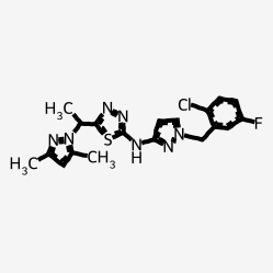 Cc1cc(C)n(C(C)c2nnc(Nc3ccn(Cc4cc(F)ccc4Cl)n3)s2)n1